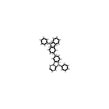 C1=CCC2C(=C1)N(c1ccccc1)c1ccc(-c3ccc4c(c3)c3ccccc3n4-c3ccccc3)cc12